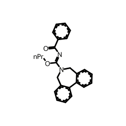 CCCOC(=NC(=O)c1ccccc1)N1Cc2ccccc2-c2ccccc2C1